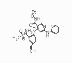 C#Cc1ccc(Nc2cc(Nc3ccccn3)ncc2C(=O)NOCC)c(N(C)S(C)(=O)=O)c1